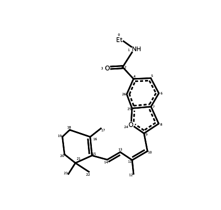 CCNC(=O)c1ccc2cc(C=C(C)C=CC3=C(C)CCCC3(C)C)oc2c1